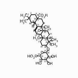 CC1(C)CC[C@]2(C(=O)O)CC[C@]3(C)C(=CCC4[C@@]5(C)CC[C@H](O[C@@H]6O[C@H](C(=O)O)[C@@H](O)[C@H](O)[C@H]6O)C(C)(C)[C@@H]5CC[C@]43C)[C@@H]2C1